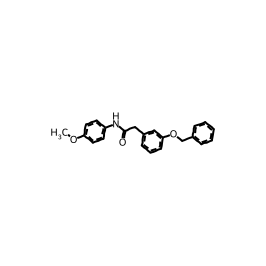 COc1ccc(NC(=O)Cc2cccc(OCc3ccccc3)c2)cc1